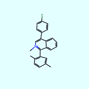 Cc1ccc(C)c(-c2c3ccccc3c(-c3ccc(F)cc3)c[n+]2C)c1